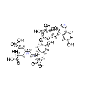 O=C(/C=C\c1ccc(O)cc1)OC[C@H]1O[C@@H](Oc2cc3c(cc2O)C[C@@H](C(=O)[O-])/[N+]3=C/C=C2/C=C(C(=O)O)N[C@H](C(=O)O)C2)[C@H](O)[C@@H](O)[C@@H]1O